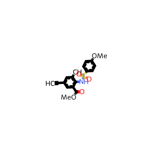 C#Cc1cc(C)c(NS(=O)(=O)c2ccc(OC)cc2)c(C(=O)OC)c1